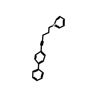 C(#Cc1ccc(-c2ccccc2)cc1)CCC[n+]1ccccc1